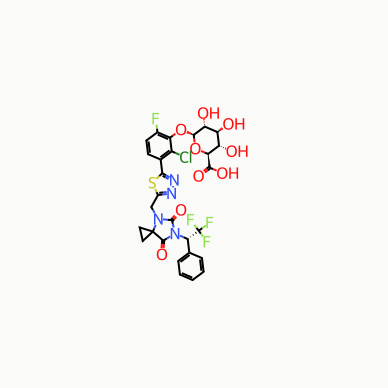 O=C(O)[C@H]1O[C@@H](Oc2c(F)ccc(-c3nnc(CN4C(=O)N([C@@H](c5ccccc5)C(F)(F)F)C(=O)C45CC5)s3)c2Cl)[C@H](O)[C@@H](O)[C@@H]1O